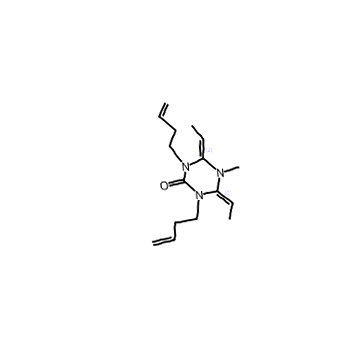 C=CCCN1C(=O)N(CCC=C)/C(=C\C)N(C)/C1=C/C